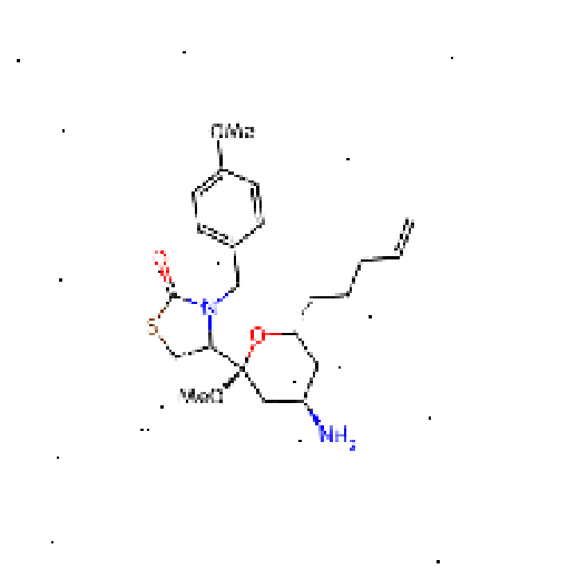 C=CCCC[C@@H]1C[C@@H](N)C[C@](OC)(C2CSC(=O)N2Cc2ccc(OC)cc2)O1